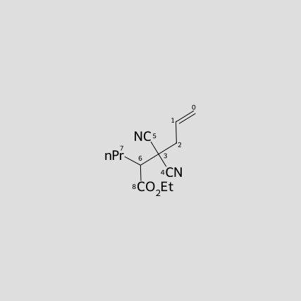 C=CCC(C#N)(C#N)C(CCC)C(=O)OCC